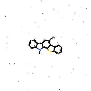 CC(C)c1cc2c3ccccc3n(C)c2c2sc3ccccc3c12